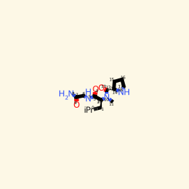 CC(C)C[C@@H](C(=O)NCC(N)=O)N(C)C(=O)[C@@H]1CCCN1